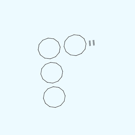 C1CCCCCCCCCCC1.C1CCCCCCCCCCC1.C1CCCCCCCCCCC1.C1CCCCCCCCCCC1.C=C.C=C